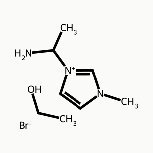 CC(N)[n+]1ccn(C)c1.CCO.[Br-]